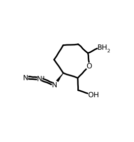 BC1CCC[C@H](N=[N+]=[N-])C(CO)O1